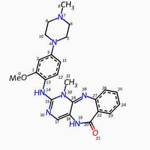 COc1cc(N2CCN(C)CC2)ccc1NC1=NC=C2NC(=O)c3ccccc3N=C2N1C